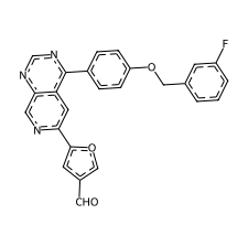 O=Cc1coc(-c2cc3c(-c4ccc(OCc5cccc(F)c5)cc4)ncnc3cn2)c1